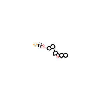 CC(C)(P)C(C)(C)OBc1ccc2c(-c3ccc4oc5cc6ccccc6cc5c4c3)cccc2c1